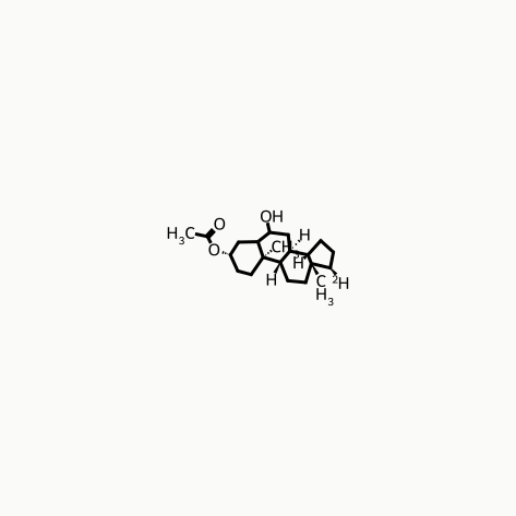 [2H][C@@H]1CC[C@H]2[C@@H]3CC(O)C4C[C@@H](OC(C)=O)CC[C@]4(C)[C@H]3CC[C@@]12C